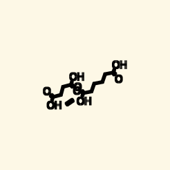 C=C.O=C(O)CCC(=O)O.O=C(O)CCCCC(=O)O